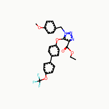 CCOC(=O)c1nnn(Cc2ccc(OC)cc2)c1Oc1ccc(-c2ccc(OC(F)(F)F)cc2)cc1